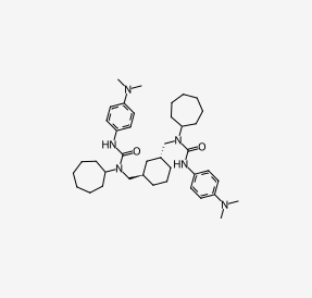 CN(C)c1ccc(NC(=O)N(C[C@@H]2CCC[C@@H](CN(C(=O)Nc3ccc(N(C)C)cc3)C3CCCCCC3)C2)C2CCCCCC2)cc1